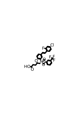 O=C(O)CCC1CN(S(=O)(=O)c2cccc(C(F)(F)F)c2)c2cc(C=Cc3ccc(Cl)cc3F)ccc2O1